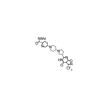 CNC(=O)c1ccc(N2CCC(N3CCC(c4nc5onc(C(F)(F)F)c5c(=O)[nH]4)C3)CC2)cn1